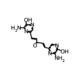 Nc1nc(/C=C/C(=O)/C=C/c2cnc(O)c(N)n2)cnc1O